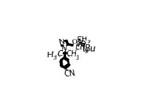 CC(C)(C)O[Si](C)(C)OCc1cncn1C(C)(C)c1ccc(C#N)cc1